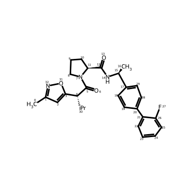 Cc1cc([C@H](C(=O)N2CCC[C@H]2C(=O)N[C@@H](C)c2ccc(-c3ccccc3F)cc2)C(C)C)on1